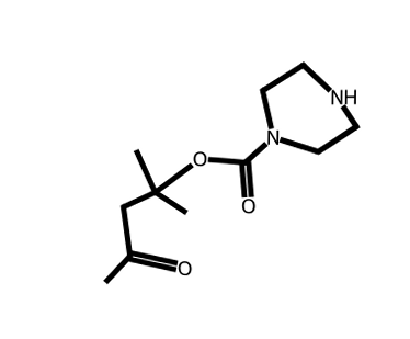 CC(=O)CC(C)(C)OC(=O)N1CCNCC1